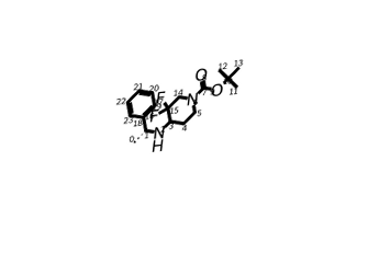 C[C@@H](NC1CCN(C(=O)OC(C)(C)C)CC1(F)F)c1ccccc1